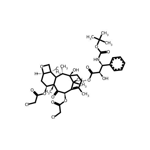 CC1=C2[C@@H](OC(=O)CCl)C(=O)[C@@]3(C)C([C@H](C)[C@](O)(C[C@@H]1OC(=O)[C@H](O)[C@@H](NC(=O)OC(C)(C)C)c1ccccc1)C2(C)C)[C@]1(C)CO[C@@H]1C[C@@H]3OC(=O)CCl